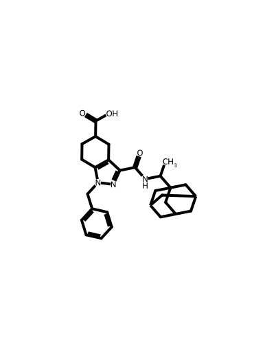 CC(NC(=O)c1nn(Cc2ccccc2)c2c1CC(C(=O)O)CC2)C12CC3CC(CC(C3)C1)C2